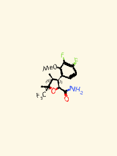 COc1c([C@H]2C(C(N)=O)O[C@@](C)(C(F)(F)F)[C@H]2C)ccc(F)c1F